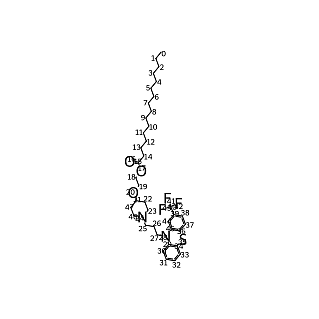 CCCCCCCCCCCCCCCC(=O)OCCOC1CCN(CCCN2c3ccccc3Sc3ccc(C(F)(F)F)cc32)CC1